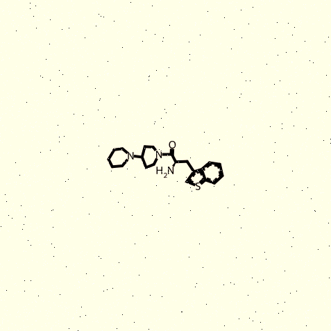 N[C@H](Cc1csc2ccccc12)C(=O)N1CCC(N2CCCCC2)CC1